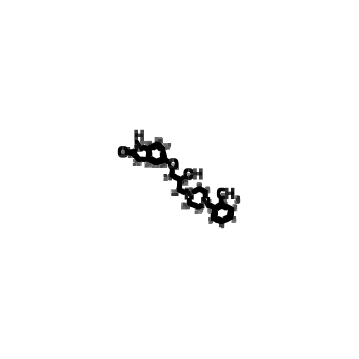 Cc1ccccc1N1CCN(C[C@H](O)COc2ccc3c(c2)CC(=O)N3)CC1